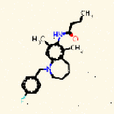 CCCC(=O)Nc1c(C)cc2c(c1C)CCCCN2Cc1ccc(F)cc1